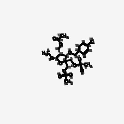 CO[C@H]1OC(COS(C)(=O)=O)(COS(C)(=O)=O)[C@@H](OCc2ccc(Cl)cc2)[C@H]1COC(C)=O